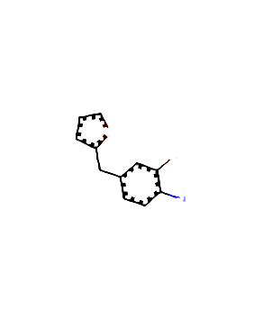 Nc1ccc(Cc2cccs2)cc1S